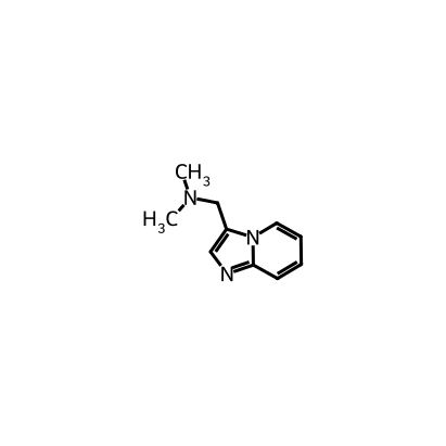 CN(C)Cc1cnc2ccccn12